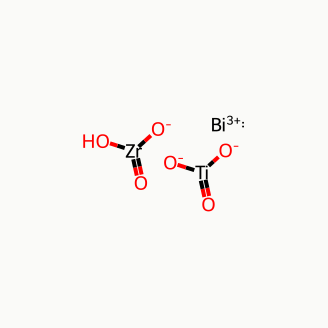 [Bi+3].[O]=[Ti]([O-])[O-].[O]=[Zr]([O-])[OH]